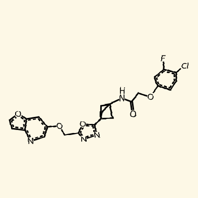 O=C(COc1ccc(Cl)c(F)c1)NC12CC(c3nnc(COc4cnc5ccoc5c4)o3)(C1)C2